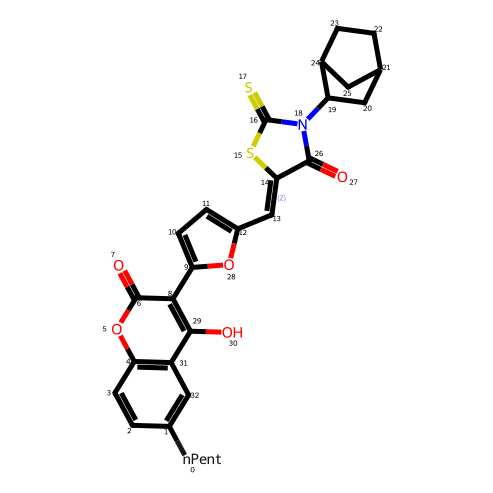 CCCCCc1ccc2oc(=O)c(-c3ccc(/C=C4\SC(=S)N(C5CC6CCC5C6)C4=O)o3)c(O)c2c1